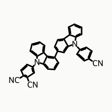 N#Cc1ccc(-n2c3ccccc3c3ccc(-c4cccc5c4c4ccccc4n5-c4ccc(C#N)c(C#N)c4)cc32)cc1